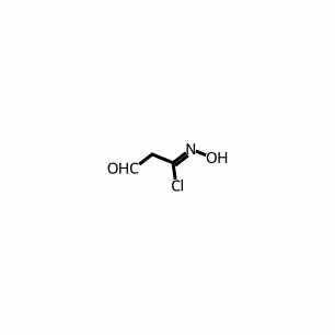 O=CCC(Cl)=NO